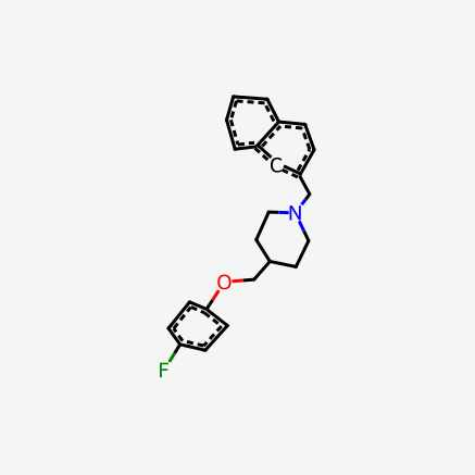 Fc1ccc(OCC2CCN(Cc3ccc4ccccc4c3)CC2)cc1